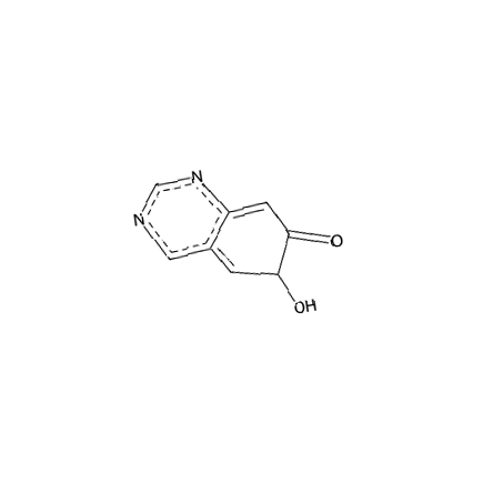 O=C1C=c2ncncc2=CC1O